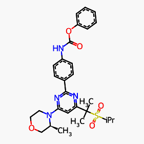 CC(C)S(=O)(=O)C(C)(C)c1cc(N2CCOC[C@@H]2C)nc(-c2ccc(NC(=O)Oc3ccccc3)cc2)n1